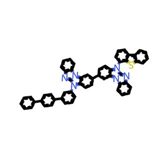 c1ccc(-c2ccc(-c3cccc(-n4c5ccc(-c6ccc7c(c6)n6c8ccccc8nc6n7-c6cccc7c6sc6ccccc67)cc5n5c6ccccc6nc45)c3)cc2)cc1